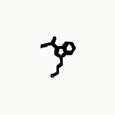 O=CC(=O)c1cn(CCCCl)c2ccccc12